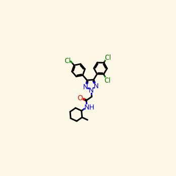 CC1CCCCC1NC(=O)Cn1nc(-c2ccc(Cl)cc2)c(-c2ccc(Cl)cc2Cl)n1